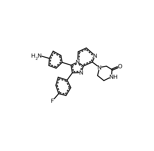 Nc1ccc(-c2c(-c3ccc(F)cc3)nc3c(N4CCNC(=O)C4)nccn23)cc1